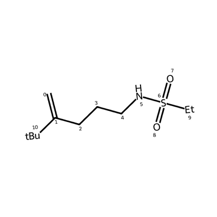 C=C(CCCNS(=O)(=O)CC)C(C)(C)C